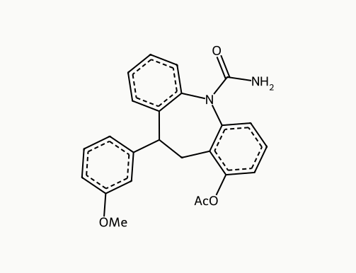 COc1cccc(C2Cc3c(OC(C)=O)cccc3N(C(N)=O)c3ccccc32)c1